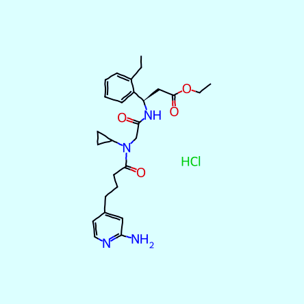 CCOC(=O)C[C@@H](NC(=O)CN(C(=O)CCCc1ccnc(N)c1)C1CC1)c1ccccc1CC.Cl